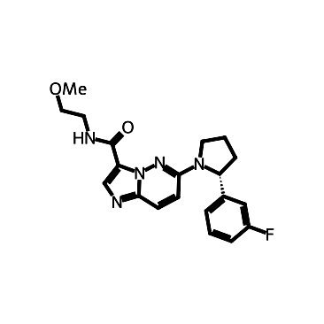 COCCNC(=O)c1cnc2ccc(N3CCC[C@@H]3c3cccc(F)c3)nn12